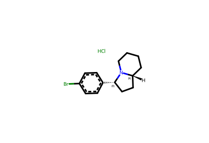 Brc1ccc([C@H]2CC[C@H]3CCCCN32)cc1.Cl